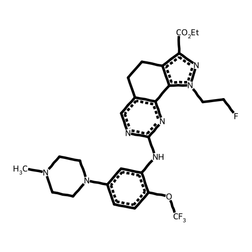 CCOC(=O)c1nn(CCF)c2c1CCc1cnc(Nc3cc(N4CCN(C)CC4)ccc3OC(F)(F)F)nc1-2